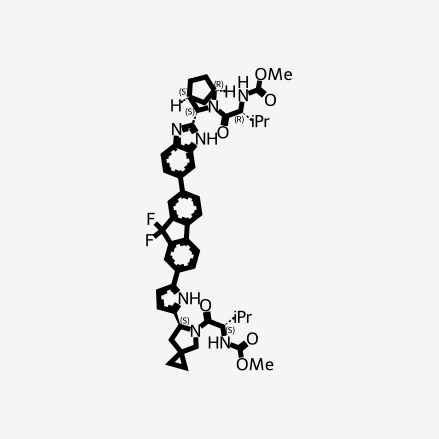 COC(=O)N[C@H](C(=O)N1CC2(CC2)C[C@H]1c1ccc(-c2ccc3c(c2)C(F)(F)c2cc(-c4ccc5nc([C@@H]6[C@H]7CC[C@H](C7)N6C(=O)[C@H](NC(=O)OC)C(C)C)[nH]c5c4)ccc2-3)[nH]1)C(C)C